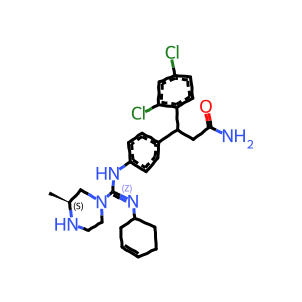 C[C@H]1CN(/C(=N\C2CC=CCC2)Nc2ccc(C(CC(N)=O)c3ccc(Cl)cc3Cl)cc2)CCN1